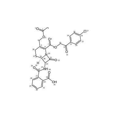 CC(=O)OCC1=C(C(=O)OCC(=O)c2ccc(Cl)cc2)N2C(=O)C(NC(=O)c3ccccc3C(=O)O)[C@H]2SC1